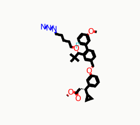 COC(=O)C[C@H](c1cccc(OCc2ccc(-c3cc(OC)ccc3F)c([C@@H](OCCCCCN=[N+]=[N-])C(C)(C)C)c2)c1)C1CC1